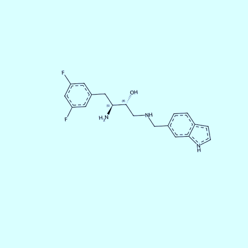 N[C@@H](Cc1cc(F)cc(F)c1)[C@H](O)CNCc1ccc2cc[nH]c2c1